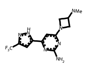 CNC1CN(c2cc(-c3cc(C(F)(F)F)n[nH]3)nc(N)n2)C1